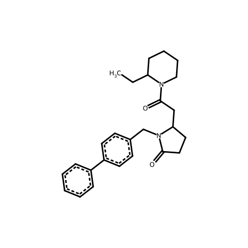 CCC1CCCCN1C(=O)CC1CCC(=O)N1Cc1ccc(-c2ccccc2)cc1